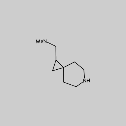 CNCC1CC12CCNCC2